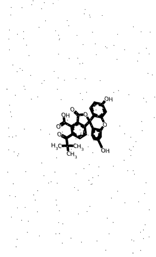 CC(C)(C)C(=O)c1ccc2c(c1C(=O)O)C(=O)OC21c2ccc(O)cc2Oc2cc(O)ccc21